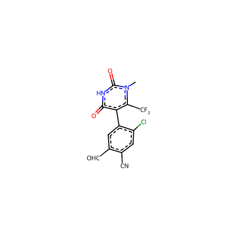 Cn1c(C(F)(F)F)c(-c2cc(C=O)c(C#N)cc2Cl)c(=O)[nH]c1=O